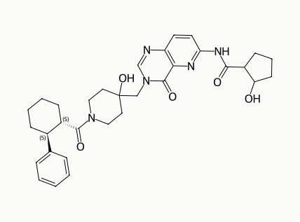 O=C(Nc1ccc2ncn(CC3(O)CCN(C(=O)[C@H]4CCCC[C@@H]4c4ccccc4)CC3)c(=O)c2n1)C1CCCC1O